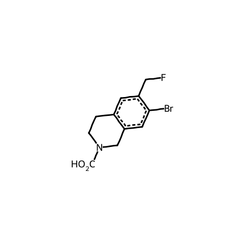 O=C(O)N1CCc2cc(CF)c(Br)cc2C1